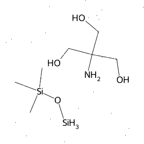 C[Si](C)(C)O[SiH3].NC(CO)(CO)CO